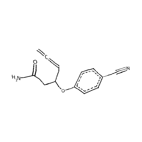 C=C=CC(CC(N)=O)Oc1ccc(C#N)cc1